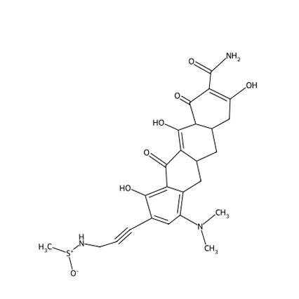 CN(C)c1cc(C#CCN[S+](C)[O-])c(O)c2c1CC1CC3CC(O)=C(C(N)=O)C(=O)C3C(O)=C1C2=O